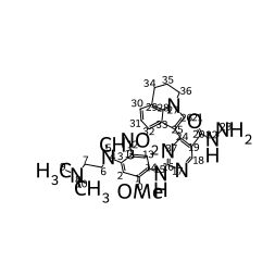 COc1cc(N(C)CCN(C)C)c([N+](=O)[O-])cc1Nc1ncc(C(=O)NN)c(-c2cn3c4c(cccc24)CCC3)n1